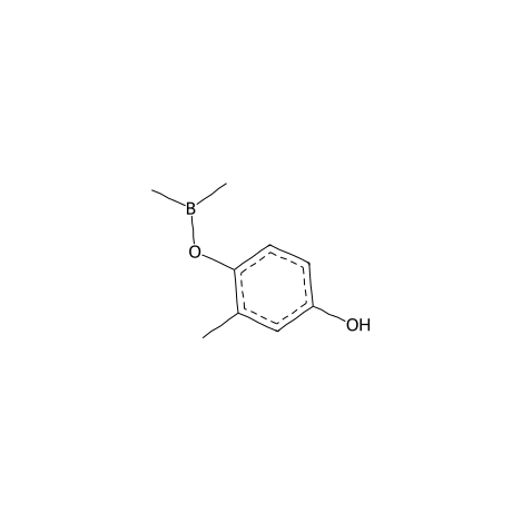 CB(C)Oc1ccc(O)cc1C